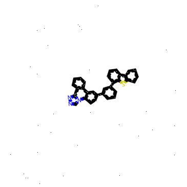 c1cc(-c2ccc3c(c2)c2ccccc2c2nncn32)cc(-c2cccc3c2sc2ccccc23)c1